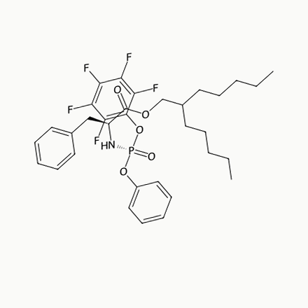 CCCCCC(CCCCC)COC(=O)[C@H](Cc1ccccc1)N[P@](=O)(Oc1ccccc1)Oc1c(F)c(F)c(F)c(F)c1F